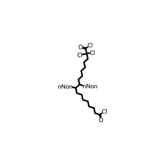 CCCCCCCCCC(CCCCCCCC(=O)Cl)C(CCCCCCCCC)CCCCCCC(Cl)(Cl)C(=O)Cl